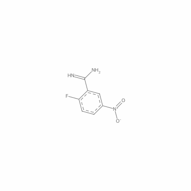 N=C(N)c1cc([N+](=O)[O-])ccc1F